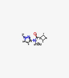 CCCCN(C(=O)C1CCC1)c1ccn(C)n1